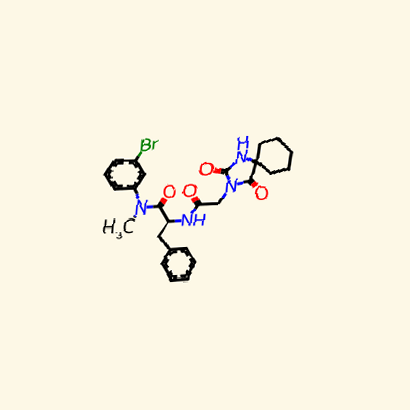 CN(C(=O)[C@H](Cc1ccccc1)NC(=O)CN1C(=O)NC2(CCCCC2)C1=O)c1cccc(Br)c1